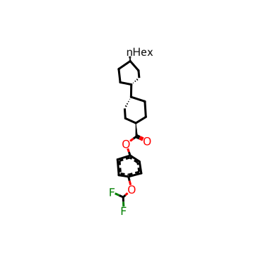 CCCCCC[C@H]1CC[C@H]([C@H]2CC[C@H](C(=O)Oc3ccc(OC(F)F)cc3)CC2)CC1